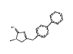 C[C@@H]1CC(Cc2ccc(-c3ccccc3)cc2)=NC1=N